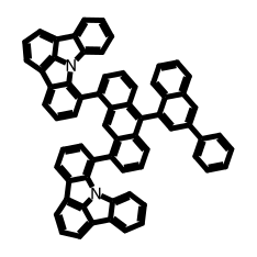 c1ccc(-c2cc(-c3c4cccc(-c5cccc6c7cccc8c9ccccc9n(c56)c87)c4cc4c(-c5cccc6c7cccc8c9ccccc9n(c56)c87)cccc34)c3ccccc3c2)cc1